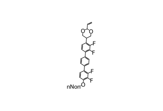 C=CC1OCC(c2ccc(-c3ccc(-c4ccc(OCCCCCCCCC)c(F)c4F)cc3)c(F)c2F)CO1